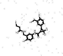 O=C(CCF)NCc1cc(NC(=O)C2C(c3ccc(F)c(CF)c3)C2(Cl)Cl)ccc1F